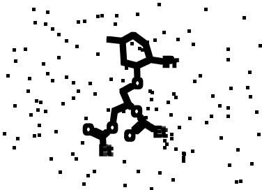 CCC(=O)OCC(COC1CC(C)CCC1C(C)C)OC(=O)CC